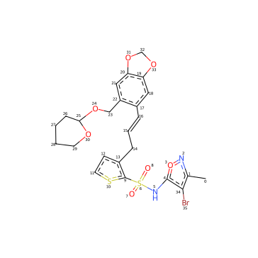 Cc1noc(NS(=O)(=O)c2sccc2CC=Cc2cc3c(cc2COC2CCCCO2)OCO3)c1Br